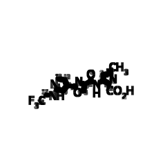 Cn1cc(NC(=O)c2coc(-c3ccnc(NCC(F)(F)F)c3)n2)c(C(=O)O)n1